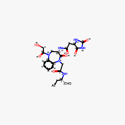 CC(=O)C[C@@H](C=O)NC(=O)CN1C(=O)[C@@H](NC(=O)CC2NC(=O)NC2=O)CN(C(=O)CO)c2ccccc21